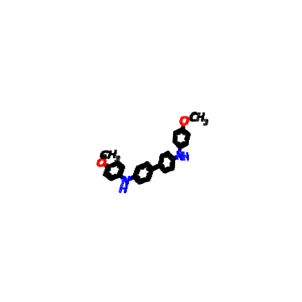 COc1ccc(Nc2ccc(-c3ccc(Nc4ccc(OC)cc4)cc3)cc2)cc1